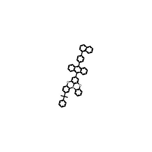 CC(C)(c1ccccc1)c1ccc2c(c1)B1c3ccccc3Oc3cc(-c4c5ccccc5c(-c5ccc(-c6cccc7ccccc67)cc5)c5ccccc45)cc(c31)O2